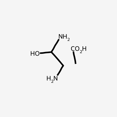 CC(=O)O.NCC(N)O